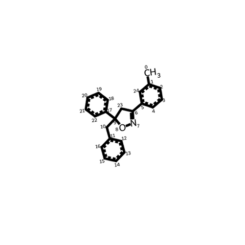 Cc1cccc(C2=NOC(Cc3ccccc3)(c3ccccc3)C2)c1